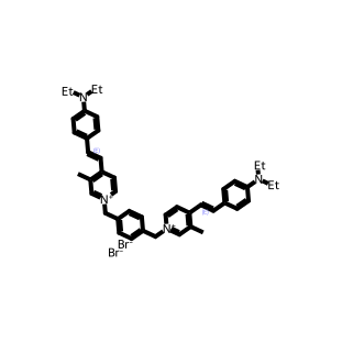 CCN(CC)c1ccc(/C=C/c2cc[n+](Cc3ccc(C[n+]4ccc(/C=C/c5ccc(N(CC)CC)cc5)c(C)c4)cc3)cc2C)cc1.[Br-].[Br-]